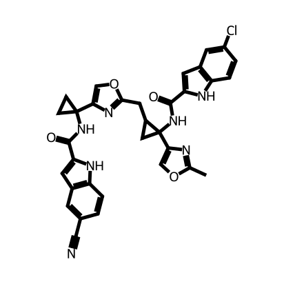 Cc1nc(C2(NC(=O)c3cc4cc(Cl)ccc4[nH]3)CC2Cc2nc(C3(NC(=O)c4cc5cc(C#N)ccc5[nH]4)CC3)co2)co1